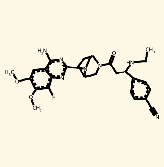 CCN[C@H](CC(=O)N1CC2CCC1CN2c1nc(N)c2cc(OC)c(OC)c(F)c2n1)c1ccc(C#N)cc1